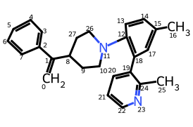 C=C(c1ccccc1)C1CCN(c2ccc(C)cc2-c2cccnc2C)CC1